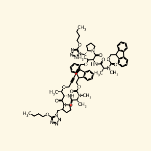 CCCCOc1nnnn1C[C@@H]1CCCN1C(=O)[C@@H](NC(=O)[C@H](C)N(C)C(=O)OCC1c2ccccc2-c2ccccc21)C(C)OCC#CC#CCO[C@H](C)[C@H](NC(=O)[C@H](C)N(C)C(=O)OCC1c2ccccc2-c2ccccc21)C(=O)N1CCC[C@H]1Cn1nnnc1OCCCC